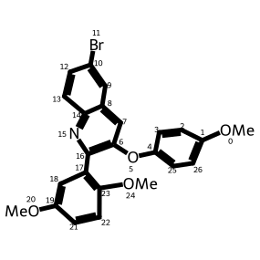 COc1ccc(Oc2cc3cc(Br)ccc3nc2-c2cc(OC)ccc2OC)cc1